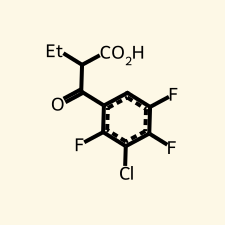 CCC(C(=O)O)C(=O)c1cc(F)c(F)c(Cl)c1F